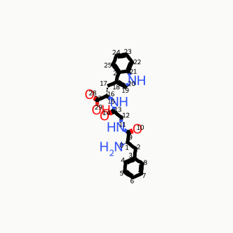 N[C@@H](Cc1ccccc1)C(=O)NCC(=O)N[C@@H](Cc1c[nH]c2ccccc12)C(=O)O